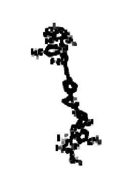 COC(=O)N[C@H](C(=O)N1C[C@@H](C)C[C@H]1c1ncc(C#Cc2ccc(-c3ccc(-c4cc5[nH]c([C@@H]6C[C@H](C)CN6C(=O)[C@@H](NC(=O)OC)C(C)C)nc5s4)cc3)cc2)[nH]1)C(C)C